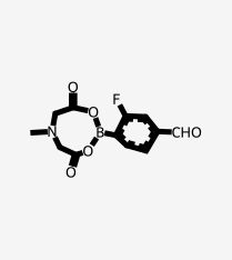 CN1CC(=O)OB(c2ccc(C=O)cc2F)OC(=O)C1